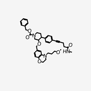 CNC(=O)CCC#Cc1ccc(C2CCN(C(=O)OCc3ccccc3)CC2OCc2ccc3c(c2)N(CCCOC)CCO3)cc1